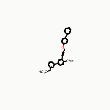 COc1ccc(-c2cccc(CC(=O)O)c2)cc1C#CCOc1ccc(-c2ccccc2)cc1